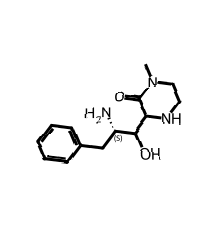 CN1CCNC(C(O)[C@@H](N)Cc2ccccc2)C1=O